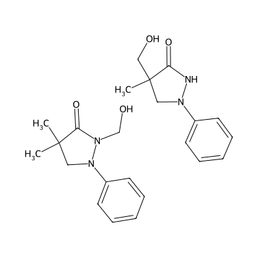 CC1(C)CN(c2ccccc2)N(CO)C1=O.CC1(CO)CN(c2ccccc2)NC1=O